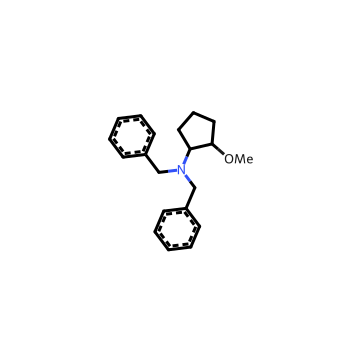 COC1CCCC1N(Cc1ccccc1)Cc1ccccc1